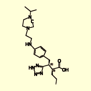 CCC[C@H](C(=O)O)[C@H](Cc1ccc(NCCN2CCN(C(C)C)CC2)cc1)c1nn[nH]n1